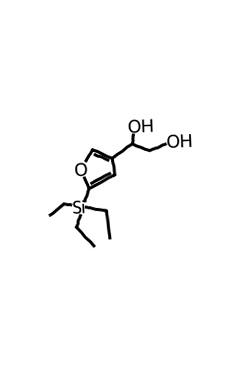 CC[Si](CC)(CC)c1cc(C(O)CO)co1